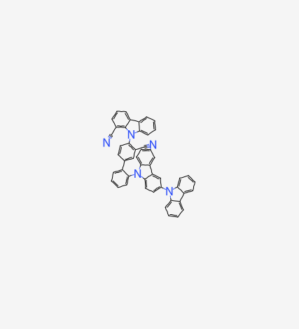 N#Cc1cc(-c2ccccc2-n2c3ccccc3c3cc(-n4c5ccccc5c5ccccc54)ccc32)ccc1-n1c2ccccc2c2cccc(C#N)c21